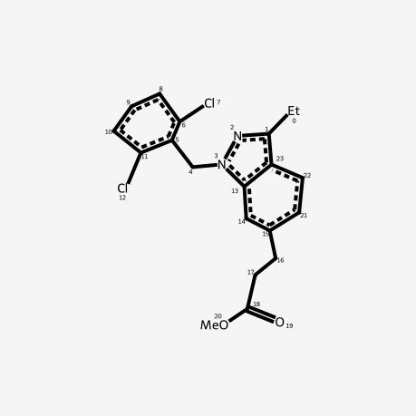 CCc1nn(Cc2c(Cl)cccc2Cl)c2cc(CCC(=O)OC)ccc12